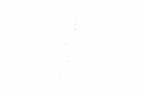 NCC#Cc1ccc(C#CCO)nc1